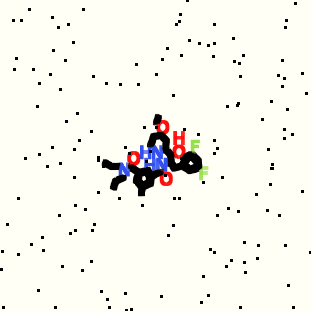 CCCN(CCC)C(=O)c1cc(C)cc(C(=O)NC(Cc2cc(F)cc(F)c2)[C@H](O)C2C[C@@H](OCC)CCN2)c1